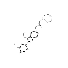 COc1cc(-c2oc3ccc(CC(=O)CN4CCNCC4)cc3c2SC)ccc1O